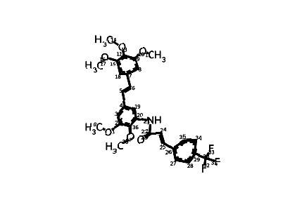 COc1cc(/C=C/c2cc(OC)c(OC)c(OC)c2)cc(NC(=O)/C=C/c2ccc(C(F)(F)F)cc2)c1OC